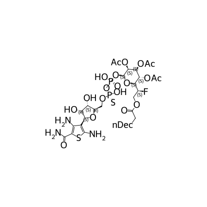 CCCCCCCCCCCC(=O)OC[C@H](F)[C@H]1O[C@@H](OP(=O)(O)OP(O)(=S)OC[C@H]2O[C@@H](c3c(N)sc(C(N)=O)c3N)[C@H](O)[C@@H]2O)[C@@H](OC(C)=O)[C@@H](OC(C)=O)[C@@H]1OC(C)=O